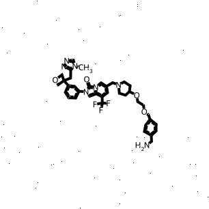 Cn1cnnc1CC1(c2cccc(-n3cc4c(C(F)(F)F)cc(CN5CCC(OCCOCc6ccc(CN)cc6)CC5)cn4c3=O)c2)COC1